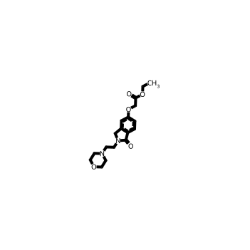 CCOC(=O)COc1ccc2c(c1)CN(CCN1CCOCC1)C2=O